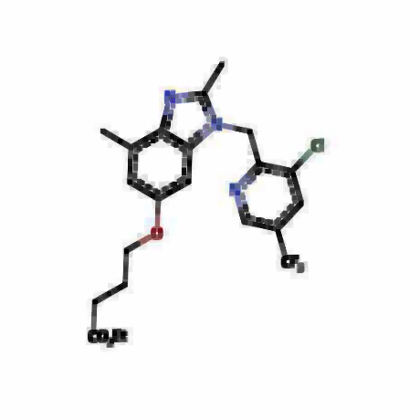 CCOC(=O)CCCOc1cc(C)c2nc(C)n(Cc3ncc(C(F)(F)F)cc3Cl)c2c1